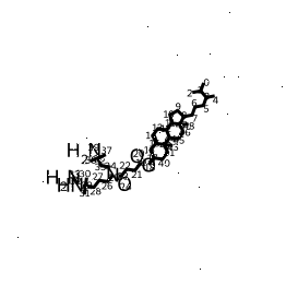 CC(C)C(C)CCCC1CCC2C3CC=C4CC(OC(=O)CCC(=O)N(CCCC(C)(C)NN)CCC(C)(C)N)CCC4(C)C3CCC12C